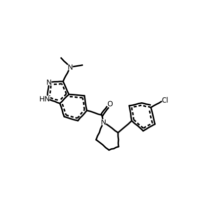 CN(C)c1n[nH]c2ccc(C(=O)N3CCCC3c3ccc(Cl)cc3)cc12